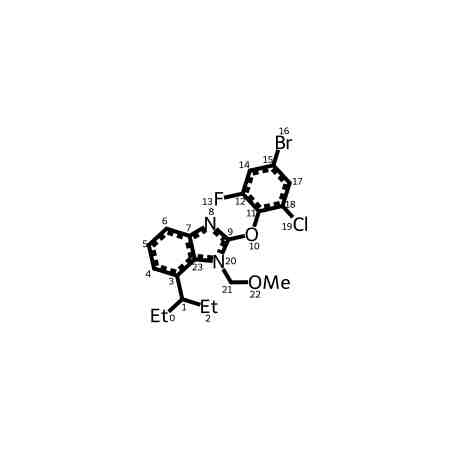 CCC(CC)c1cccc2nc(Oc3c(F)cc(Br)cc3Cl)n(COC)c12